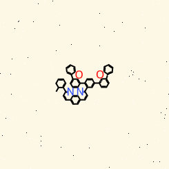 CC1CC=CC=C1c1ccc2ccc3ccc(-c4cc(-c5cccc6c5oc5ccccc56)ccc4-c4cccc5c4oc4ccccc45)nc3c2n1